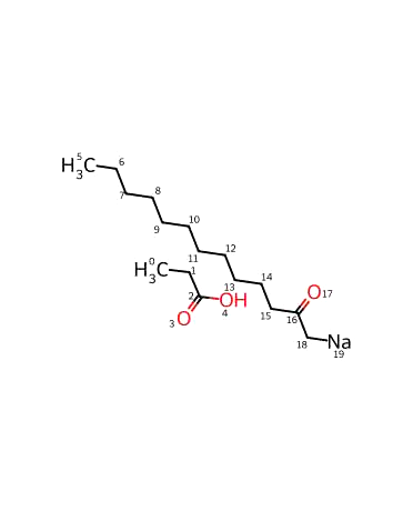 CCC(=O)O.CCCCCCCCCCCC(=O)[CH2][Na]